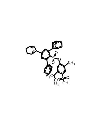 Cc1cc(S(=O)(=O)O)c(C(C)C)cc1OS(=O)(=O)c1c(-c2cc3ccc2o3)cc(C2CC3CCC2O3)cc1-c1cc2ccc1o2